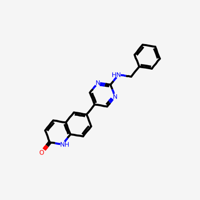 O=c1ccc2cc(-c3cnc(NCc4ccccc4)nc3)ccc2[nH]1